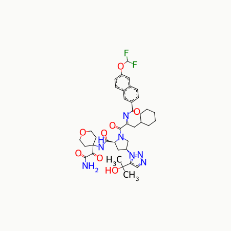 CC(C)(O)c1cnnn1[C@H]1C[C@@H](C(=O)NC2(C(=O)C(N)=O)CCOCC2)N(C(=O)/C(CC2CCCCC2)=N/C(=O)c2ccc3cc(OC(F)F)ccc3c2)C1